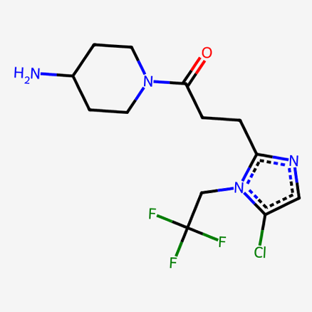 NC1CCN(C(=O)CCc2ncc(Cl)n2CC(F)(F)F)CC1